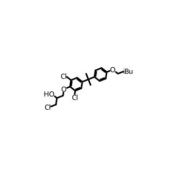 CCC(C)COc1ccc(C(C)(C)c2cc(Cl)c(OCC(O)CCl)c(Cl)c2)cc1